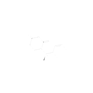 C/C=C\C(C)[C@@H](C)N1CCC(=O)NC1=O